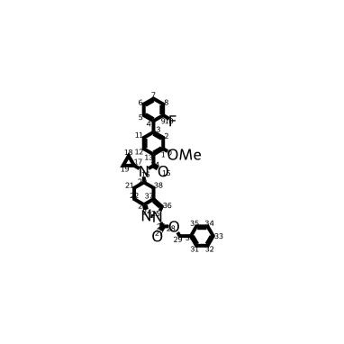 COc1cc(-c2ccccc2F)ccc1C(=O)N(C1CC1)C1CCc2nn(C(=O)OCc3ccccc3)cc2C1